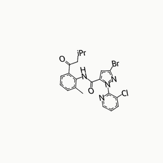 Cc1cccc(C(=O)CC(C)C)c1NC(=O)c1cc(Br)nn1-c1ncccc1Cl